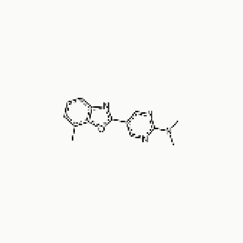 Cc1cccc2nc(-c3cnc(N(C)C)nc3)oc12